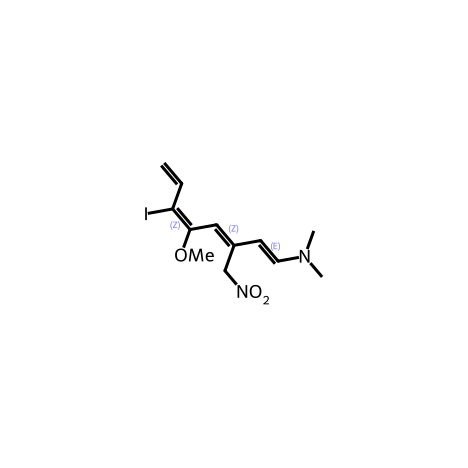 C=C\C(I)=C(/C=C(/C=C/N(C)C)C[N+](=O)[O-])OC